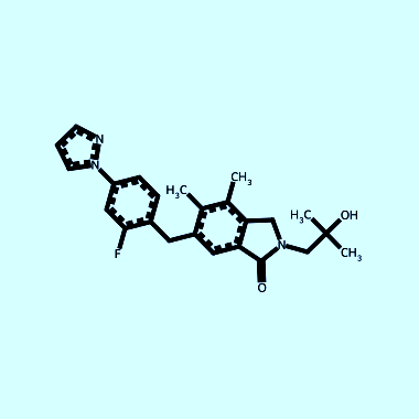 Cc1c(Cc2ccc(-n3cccn3)cc2F)cc2c(c1C)CN(CC(C)(C)O)C2=O